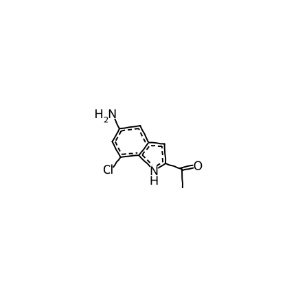 CC(=O)c1cc2cc(N)cc(Cl)c2[nH]1